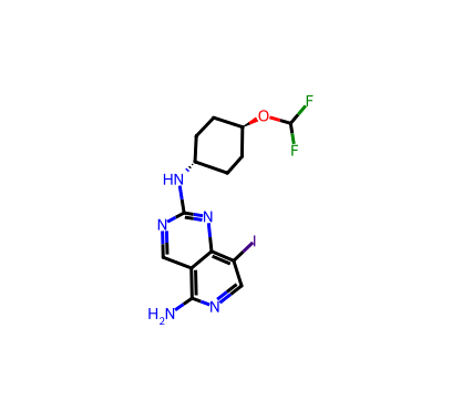 Nc1ncc(I)c2nc(N[C@H]3CC[C@H](OC(F)F)CC3)ncc12